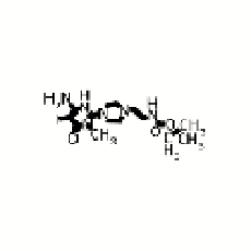 CN1C(=O)C(I)=C(N)NC1N1CCN(CCNC(=O)OC(C)(C)C)CC1